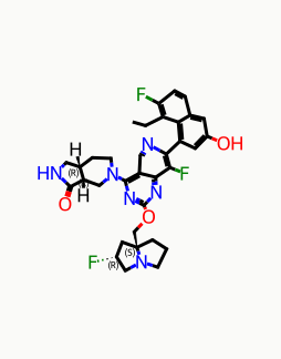 CCc1c(F)ccc2cc(O)cc(-c3ncc4c(N5CC[C@H]6CNC(=O)[C@H]6C5)nc(OC[C@@]56CCCN5C[C@H](F)C6)nc4c3F)c12